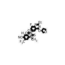 CCc1nc(O[C@@H]2CCOC2)c2cc(N(C(=S)N(C)c3ccc(C#N)c(C(F)(F)F)c3)C(C)(C)C=O)cc(F)c2n1